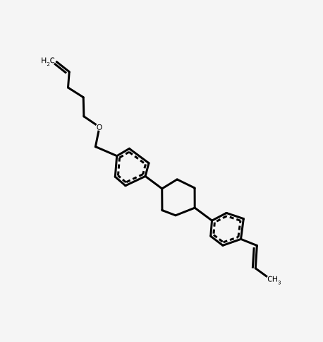 C=CCCCOCc1ccc(C2CCC(c3ccc(/C=C/C)cc3)CC2)cc1